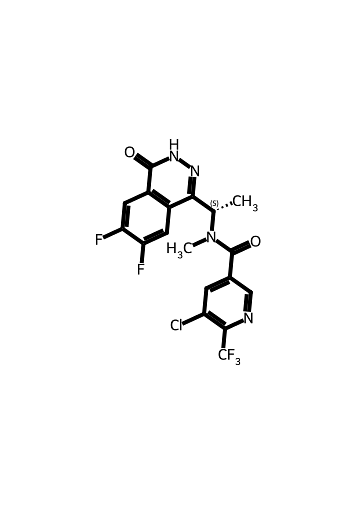 C[C@@H](c1n[nH]c(=O)c2cc(F)c(F)cc12)N(C)C(=O)c1cnc(C(F)(F)F)c(Cl)c1